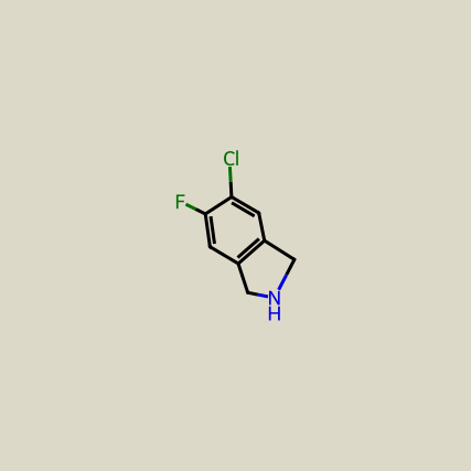 Fc1cc2c(cc1Cl)CNC2